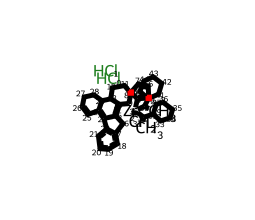 Cl.Cl.[CH2]=[Zr]([C]1=CC=CC1)([CH]1CCCC2C1=C1Cc3ccccc3C1=C1C=CCCC12)([CH](C)C1CCCCC1)[CH](C)C1CCCCC1